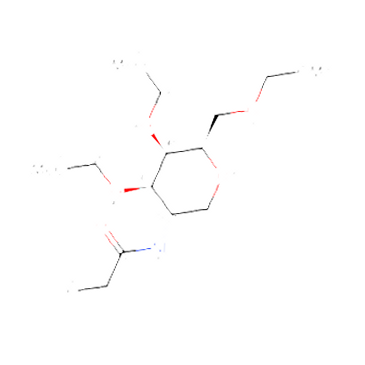 COCOC[C@H]1OC[C@H](NC(=O)CC(F)(F)F)[C@@H](OCOC)[C@H]1OCOC